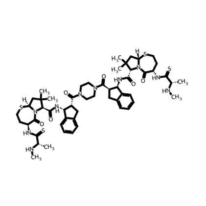 CN[C@@H](C)C(=S)N[C@H]1CCS[C@H]2CC(C)(C)[C@@H](C(=O)N[C@H]3c4ccccc4C[C@H]3C(=O)N3CCN(C(=O)[C@@H]4Cc5ccccc5[C@@H]4NC(=O)[C@H]4N5C(=O)[C@@H](NC(=S)[C@H](C)NC)CCS[C@H]5CC4(C)C)CC3)N2C1=O